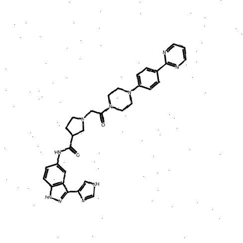 O=C(Nc1ccc2[nH]nc(-c3c[nH]cn3)c2c1)C1CCN(CC(=O)N2CCN(c3ccc(-c4ncccn4)cc3)CC2)C1